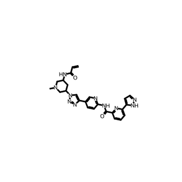 C=CC(=O)NC1CC(n2cc(-c3ccc(NC(=O)c4cccc(-c5ccn[nH]5)n4)nc3)nn2)CN(C)C1